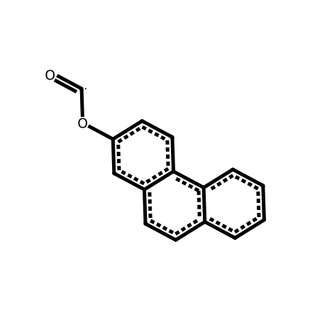 O=[C]Oc1ccc2c(ccc3ccccc32)c1